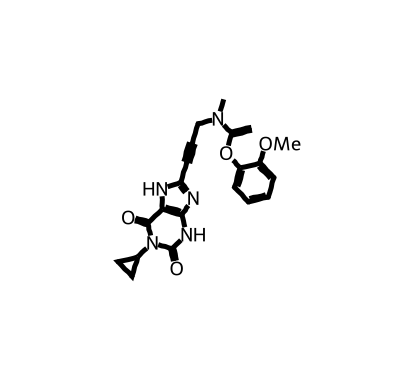 C=C(Oc1ccccc1OC)N(C)CC#Cc1nc2[nH]c(=O)n(C3CC3)c(=O)c2[nH]1